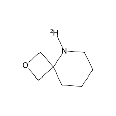 [2H]N1CCCCC12COC2